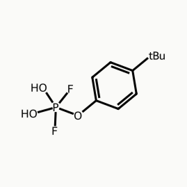 CC(C)(C)c1ccc(OP(O)(O)(F)F)cc1